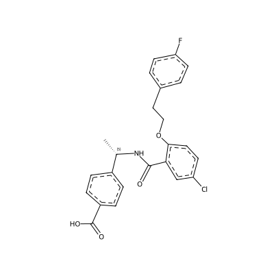 C[C@H](NC(=O)c1cc(Cl)ccc1OCCc1ccc(F)cc1)c1ccc(C(=O)O)cc1